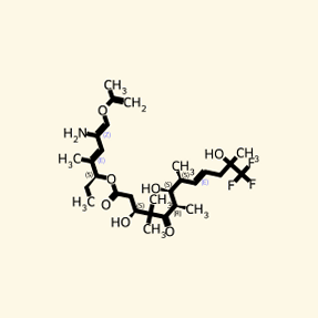 C=C(C)O/C=C(N)/C=C(\C)[C@H](CC)OC(=O)C[C@H](O)C(C)(C)C(=O)[C@H](C)[C@@H](O)[C@@H](C)/C=C/CC(C)(O)C(F)(F)F